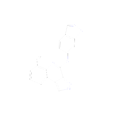 COc1cccc2c1nc(Nc1ccc3cn[nH]c3c1)c1n[nH]cc12